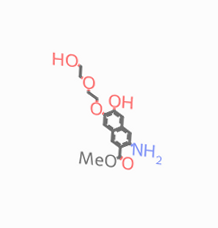 COC(=O)c1cc2cc(OCCOCCO)c(O)cc2cc1N